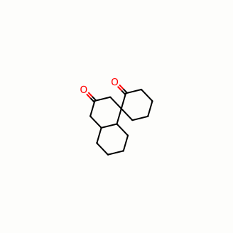 O=C1CC2CCCCC2C2(CCCCC2=O)C1